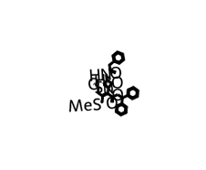 CSCC1=C(C(=O)OC(c2ccccc2)c2ccccc2)N2C(=O)C(NC(=O)Cc3ccccc3)[C@@H]2[S+]([O-])C1